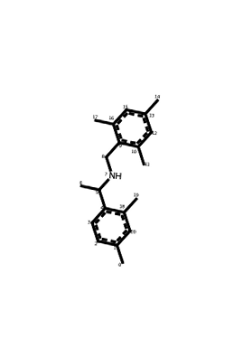 Cc1ccc(C(C)NCc2c(C)cc(C)cc2C)c(C)c1